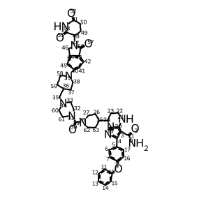 NC(=O)c1c(-c2ccc(Oc3ccccc3)cc2)nn2c1NCCC2C1CCN(C(=O)N2CCN(CC3CCN(c4ccc5c(c4)CN(C4CCC(=O)NC4=O)C5=O)CC3)CC2)CC1